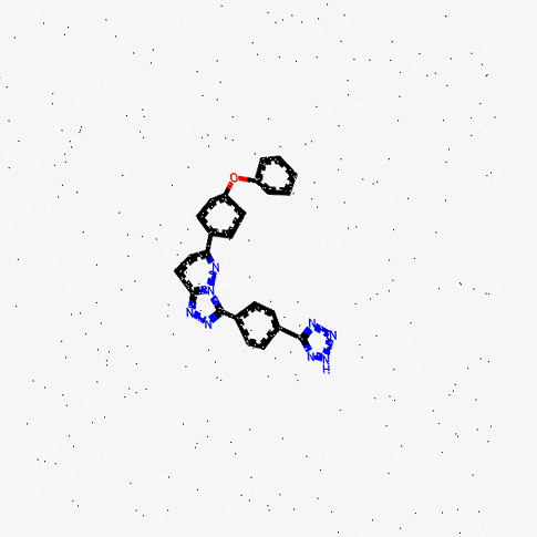 c1ccc(Oc2ccc(-c3ccc4nnc(-c5ccc(-c6nn[nH]n6)cc5)n4n3)cc2)cc1